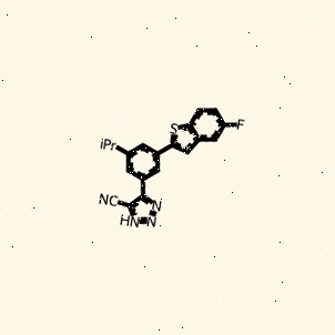 CC(C)c1cc(-c2cc3cc(F)ccc3s2)cc(-c2nn[nH]c2C#N)c1